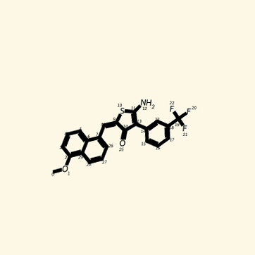 COc1cccc2c(C=C3SC(N)=C(c4cccc(C(F)(F)F)c4)C3=O)cccc12